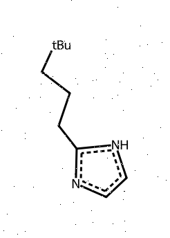 CC(C)(C)CCCc1ncc[nH]1